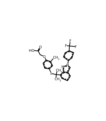 Cc1cc(SC(C)(C)c2cccc3cn(-c4ccc(C(F)(F)F)cc4)nc23)ccc1OCC(=O)O